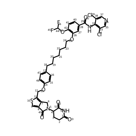 O=C1CCC(N2Cc3c(csc3COc3ccc(CCCCCCCOc4cc(C(=O)Nc5c(Cl)cncc5Cl)ccc4OC(F)F)cc3)C2=O)C(=O)N1